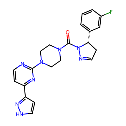 O=C(N1CCN(c2nccc(-c3cc[nH]n3)n2)CC1)N1N=CC[C@H]1c1cccc(F)c1